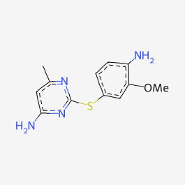 COc1cc(Sc2nc(C)cc(N)n2)ccc1N